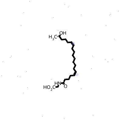 C[C@H](O)CCC/C=C\CCCCCCC/C=C\CCCC(=O)NCC(=O)O